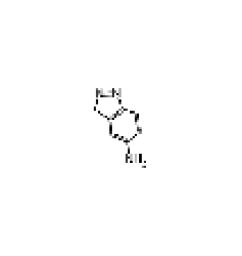 Nc1ccc2c(c1)CN=N2